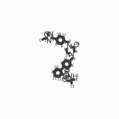 Cc1nc(-c2ccc(CN3CCN(Cc4ccc(-c5ccccc5S(=O)(=O)NC(C)(C)C)cc4)CC3=O)cc2)no1